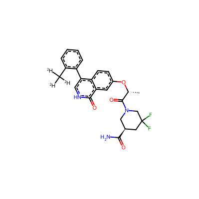 [2H]C([2H])([2H])c1ccccc1-c1c[nH]c(=O)c2cc(O[C@H](C)C(=O)N3C[C@H](C(N)=O)CC(F)(F)C3)ccc12